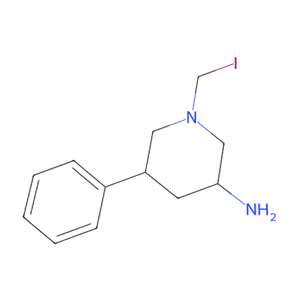 NC1CC(c2ccccc2)CN(CI)C1